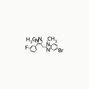 CCn1c(Cc2cnn(C)c2-c2cccc(F)c2)nc2cc(Br)ccc21